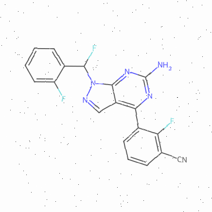 N#Cc1cccc(-c2nc(N)nc3c2cnn3C(F)c2ccccc2F)c1F